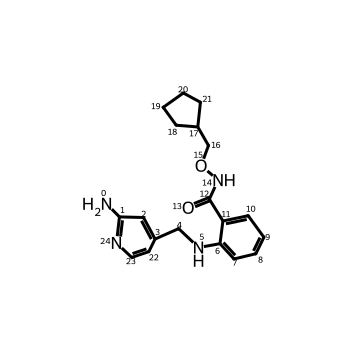 Nc1cc(CNc2ccccc2C(=O)NOCC2CCCC2)ccn1